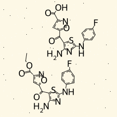 CCOC(=O)c1cc(C(=O)c2sc(Nc3ccc(F)cc3)nc2N)on1.Nc1nc(Nc2ccc(F)cc2)sc1C(=O)c1cc(C(=O)O)no1